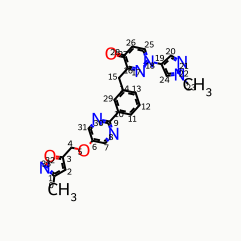 Cc1cc(COc2cnc(-c3cccc(Cc4nn(-c5cnn(C)c5)ccc4=O)c3)nc2)on1